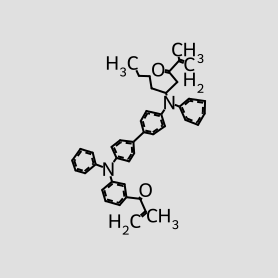 C=C(C)C(=O)CC(CCCC)N(c1ccccc1)c1ccc(-c2ccc(N(c3ccccc3)c3cccc(C(=O)C(=C)C)c3)cc2)cc1